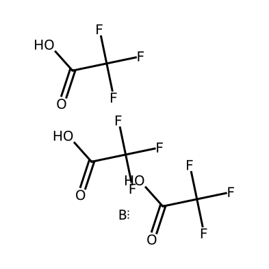 O=C(O)C(F)(F)F.O=C(O)C(F)(F)F.O=C(O)C(F)(F)F.[B]